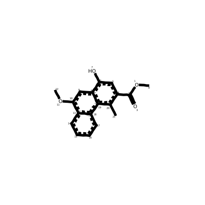 COC(=O)c1cc(O)c2cc(OC)c3ccccc3c2c1C